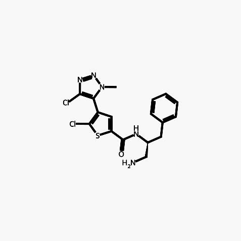 Cn1nnc(Cl)c1-c1cc(C(=O)N[C@H](CN)Cc2ccccc2)sc1Cl